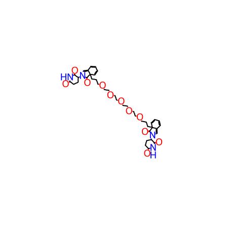 O=C1CCC(N2C=C3C=CC=CC3(CCCOCCOCCOCCOCCOCCCC34C=CC=CC3=CN(C3CCC(=O)NC3=O)C4=O)C2=O)C(=O)N1